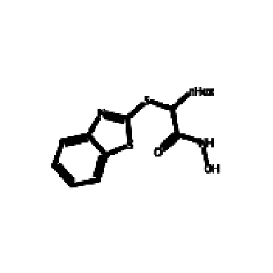 CCCCCCC(Sc1nc2ccccc2s1)C(=O)NO